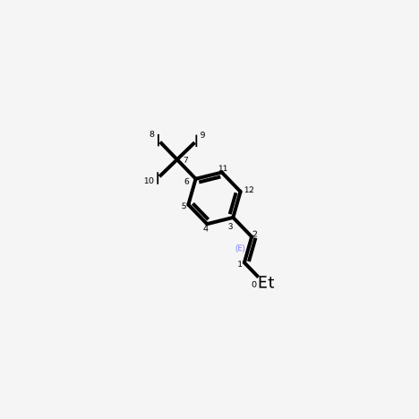 CC/C=C/c1ccc(C(I)(I)I)cc1